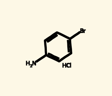 Cl.Nc1ccc(Br)cc1